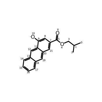 CC(C)COC(=O)c1cc([O])c2cc3ccccc3cc2c1